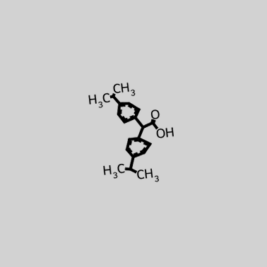 CC(C)c1ccc(C(C(=O)O)c2ccc(C(C)C)cc2)cc1